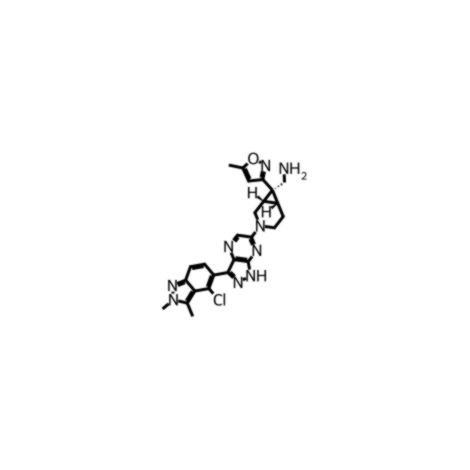 Cc1cc([C@@]2(CN)[C@@H]3CCN(c4cnc5c(-c6ccc7nn(C)c(C)c7c6Cl)n[nH]c5n4)C[C@@H]32)no1